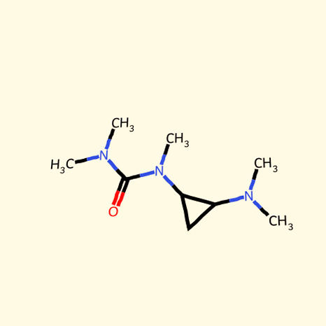 CN(C)C(=O)N(C)C1CC1N(C)C